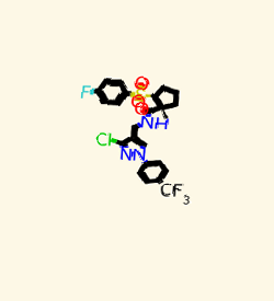 C[C@]1(C(=O)NCc2cn(-c3ccc(C(F)(F)F)cc3)nc2Cl)CCC[C@@H]1S(=O)(=O)c1ccc(F)cc1